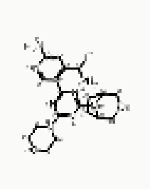 Nc1cc(C(F)P)c(-c2nc(N3CCOCC3)nc(N3C4CCC3COC4)n2)cn1